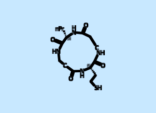 CCC[C@@H]1NC(=O)CCNC(=O)[C@H](CCS)NC(=O)CCNC1=O